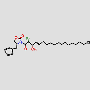 CCCCCCCCCCCCCC=CC(O)C(Br)C(=O)N1C(=O)OCC1Cc1ccccc1